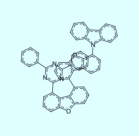 c1ccc(-c2nc(-c3ccccc3)nc(-c3cccc4oc5cccc(-c6cccc7oc8c(-n9c%10ccccc%10c%10ccccc%109)cccc8c67)c5c34)n2)cc1